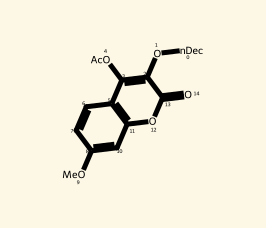 CCCCCCCCCCOc1c(OC(C)=O)c2ccc(OC)cc2oc1=O